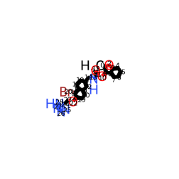 Cc1oc2ccccc2c1OC(=O)NCc1ccc2c(Br)c(OCc3nnn[nH]3)ccc2c1